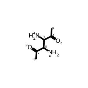 CC(=O)C(N)C(N)C(C)=O